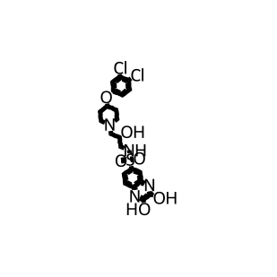 O=S(=O)(NC[C@H](O)CN1CCC(Oc2ccc(Cl)c(Cl)c2)CC1)c1ccc2nc(O)c(O)nc2c1